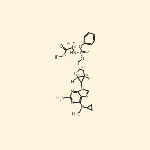 CC(C)OC(=O)[C@@H](C)N[P@](=O)(OC[C@@H]1C[C@]2(F)C(n3cnc4c(N(C)C5CC5)nc(N)nc43)[C@@H]2O1)Oc1ccccc1